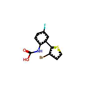 O=C(O)Nc1ccc(F)cc1-c1sccc1Br